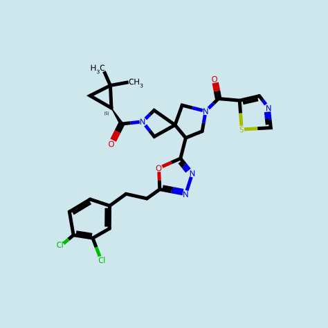 CC1(C)C[C@@H]1C(=O)N1CC2(CN(C(=O)c3cncs3)CC2c2nnc(CCc3ccc(Cl)c(Cl)c3)o2)C1